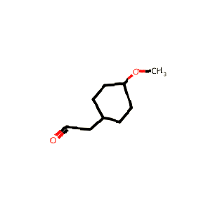 COC1CCC(C[C]=O)CC1